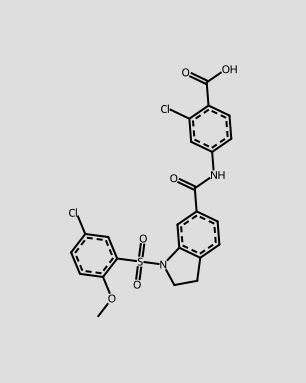 COc1ccc(Cl)cc1S(=O)(=O)N1CCc2ccc(C(=O)Nc3ccc(C(=O)O)c(Cl)c3)cc21